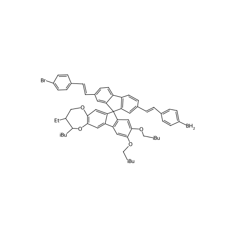 Bc1ccc(/C=C/c2ccc3c(c2)C2(c4cc(/C=C/c5ccc(Br)cc5)ccc4-3)c3cc(OCC(C)CC)c(OCC(C)CC)cc3-c3cc4c(cc32)OCC(CC)C(C(C)CC)O4)cc1